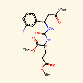 COC(=O)CC(NC(=O)N[C@@H](CCC(=O)OC(C)(C)C)C(=O)OC(C)(C)C)c1cccc(I)c1